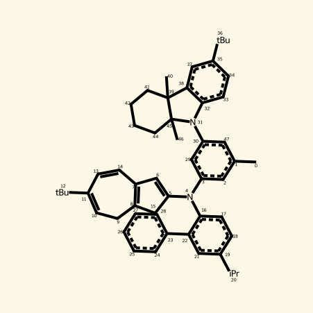 Cc1cc(N(C2=CC3=C(CC=C(C(C)(C)C)C=C3)C2)c2ccc(C(C)C)cc2-c2ccccc2)cc(N2c3ccc(C(C)(C)C)cc3C3(C)CCCCC23C)c1